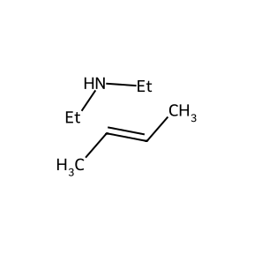 CC=CC.CCNCC